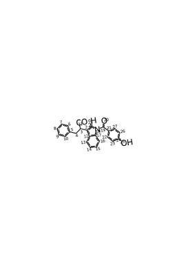 Cc1c(C(Cc2ccccc2)C(=O)O)c2ccccc2n1C(=O)c1ccc(O)cc1